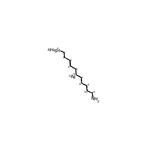 CCCCCCCCCCCCCCCCCCN.[Ni]